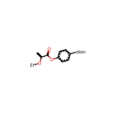 C=C(OCC)C(=O)Oc1ccc(CCCCCCCCC)cc1